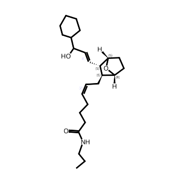 CCCNC(=O)CCC/C=C\C[C@H]1[C@H](/C=C/C(O)C2CCCCC2)[C@@H]2CC[C@H]1O2